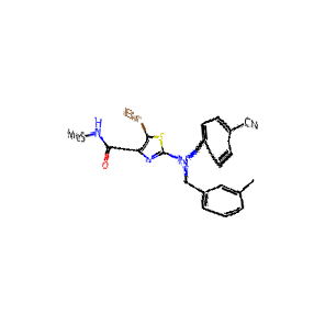 CSNC(=O)c1nc(N(Cc2cccc(C)c2)c2ccc(C#N)cc2)sc1Br